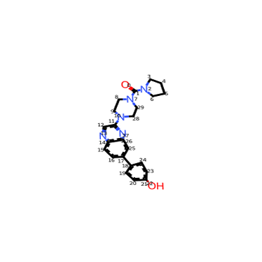 O=C(N1CCCC1)N1CCN(c2cnc3ccc(-c4ccc(O)cc4)cc3n2)CC1